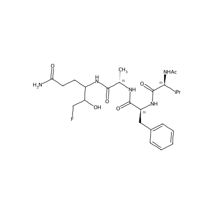 CC(=O)N[C@H](C(=O)N[C@@H](Cc1ccccc1)C(=O)N[C@@H](C)C(=O)NC(CCC(N)=O)C(O)CF)C(C)C